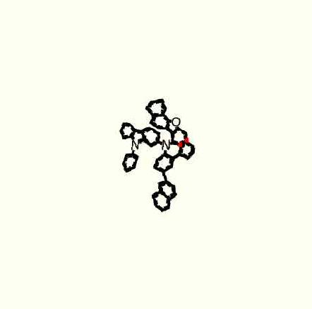 c1ccc(-c2cc(-c3ccc4ccccc4c3)ccc2N(c2ccc3c4ccccc4n(-c4ccccc4)c3c2)c2cccc3oc4c5ccccc5ccc4c23)cc1